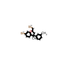 Cc1cccc(C(C#N)(CC(=O)CBr)c2ccc(Br)cc2)c1